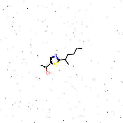 CCCCC(C)c1ncc(C(C)O)s1